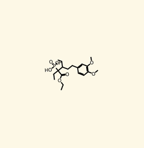 CCOC(=O)C(CC)(C(CC)CCc1ccc(OC)c(OC)c1)P(=O)(O)O